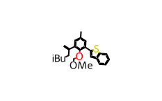 C=C(CC(C)CC)c1cc(C)cc(-c2cc3ccccc3s2)c1OCOC